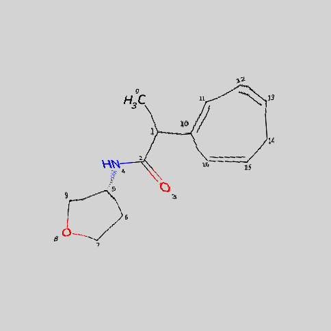 CC(C(=O)N[C@@H]1CCOC1)C1=CC=CCC=C1